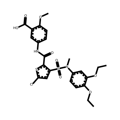 CCOc1ccc(N(C)S(=O)(=O)c2cc(Cl)sc2C(=O)Nc2ccc(OC)c(C(=O)O)c2)cc1OCC